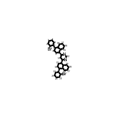 Brc1ccccc1-c1ccc(-c2cc(-c3ccc(-c4ccccc4Br)c4ccccc34)ncn2)c2ccccc12